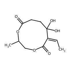 CC=C1C(=O)OCC(C)OC(=O)CCC1(O)O